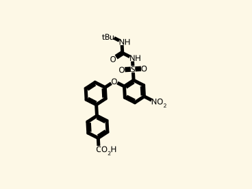 CC(C)(C)NC(=O)NS(=O)(=O)c1cc([N+](=O)[O-])ccc1Oc1cccc(-c2ccc(C(=O)O)cc2)c1